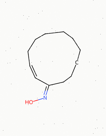 ON=C1C=CCCCCCCCCC1